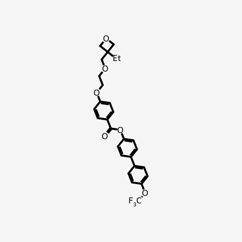 CCC1(COCCOc2ccc(C(=O)Oc3ccc(-c4ccc(OC(F)(F)F)cc4)cc3)cc2)COC1